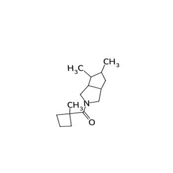 CC1CC2CN(C(=O)C3(C)CCC3)CC2C1C